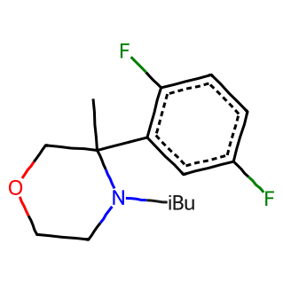 CCC(C)N1CCOCC1(C)c1cc(F)ccc1F